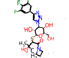 CC(C)(O)C(S[C@@H]1O[C@H](CO)[C@H](O)[C@H](n2cc(-c3cc(F)c(F)c(F)c3)nn2)[C@H]1O)C(=O)N1CCC1